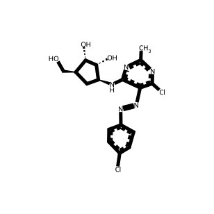 Cc1nc(Cl)c(/N=N/c2ccc(Cl)cc2)c(N[C@H]2C[C@@H](CO)[C@H](O)[C@@H]2O)n1